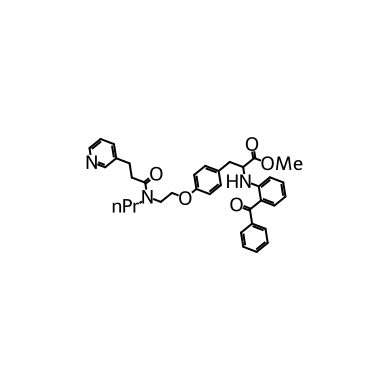 CCCN(CCOc1ccc(CC(Nc2ccccc2C(=O)c2ccccc2)C(=O)OC)cc1)C(=O)CCc1cccnc1